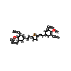 CCOc1c(OC)cc(/C=C/c2ccc(/C=C/c3cc(OC)c(OCC)c(OC)c3)s2)cc1OC